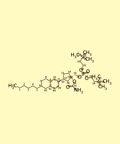 CCCCCCC1CCc2cc([C@H]3CC[C@@](COP(=O)(OCC[Si](C)(C)C)OCC[Si](C)(C)C)(OC(N)=O)C3)ccc2C1